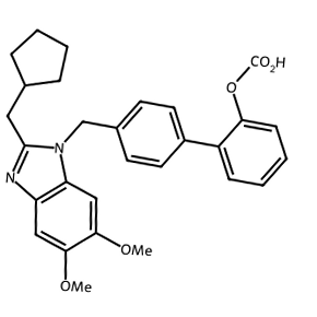 COc1cc2nc(CC3CCCC3)n(Cc3ccc(-c4ccccc4OC(=O)O)cc3)c2cc1OC